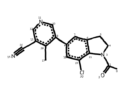 CC(=O)N1CCc2cc(-c3cncc(C#N)c3C)cc(Cl)c21